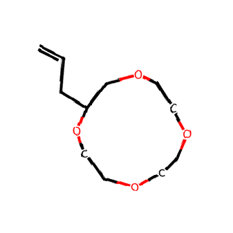 C=CCC1COCCOCCOCCO1